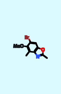 COc1c(Br)cc2oc(C)nc2c1C